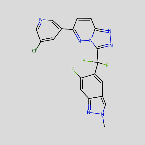 Cn1cc2cc(C(F)(F)c3nnc4ccc(-c5cncc(Cl)c5)nn34)c(F)cc2n1